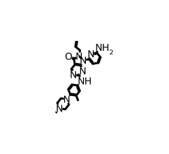 C=CCn1c(=O)c2cnc(Nc3ccc(N4CCN(C)CC4)c(C)c3)nc2n1-c1cccc(N)n1